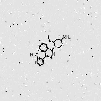 Cn1nccc1-c1nnc(N2CCC(N)CC2CI)c2ccccc12